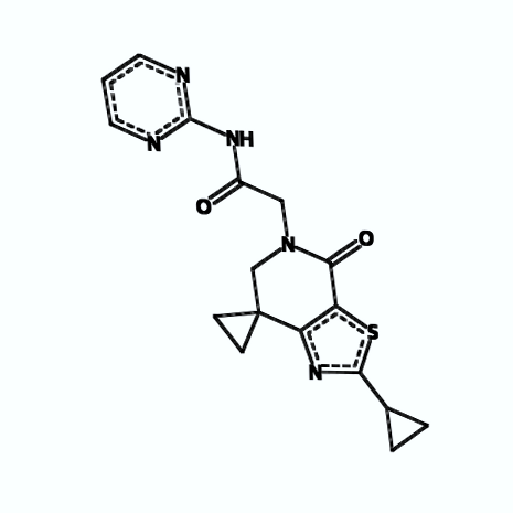 O=C(CN1CC2(CC2)c2nc(C3CC3)sc2C1=O)Nc1ncccn1